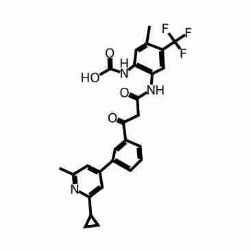 Cc1cc(-c2cccc(C(=O)CC(=O)Nc3cc(C(F)(F)F)c(C)cc3NC(=O)O)c2)cc(C2CC2)n1